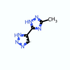 Cc1n[nH]c(-c2[c]nn[nH]2)n1